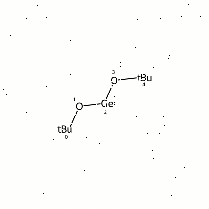 CC(C)(C)[O][Ge][O]C(C)(C)C